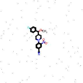 COC(c1ccc(F)cc1)C1CCN(c2ccc(C#N)cc2[N+](=O)[O-])CC1